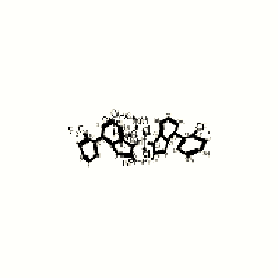 CCCC1=Cc2c(-c3ccccc3C(F)(F)F)cccc2[CH]1[Hf]([Cl])([Cl])([B](NC=O)NC=O)[CH]1C(CCC)=Cc2c(-c3ccccc3C(F)(F)F)cccc21